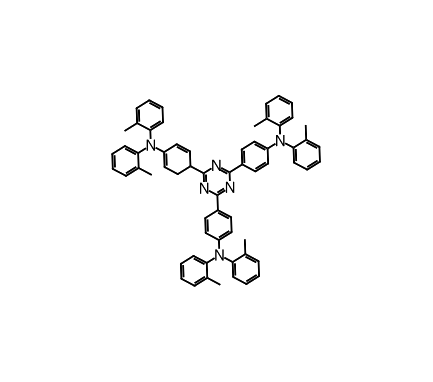 Cc1ccccc1N(C1=CCC(c2nc(-c3ccc(N(c4ccccc4C)c4ccccc4C)cc3)nc(-c3ccc(N(c4ccccc4C)c4ccccc4C)cc3)n2)C=C1)c1ccccc1C